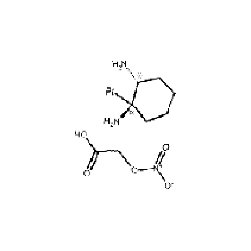 N[C@@H]1CCCC[C@]1(N)[Pt].O=C(O)CO[N+](=O)[O-]